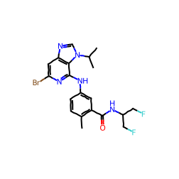 Cc1ccc(Nc2nc(Br)cc3ncn(C(C)C)c23)cc1C(=O)NC(CF)CF